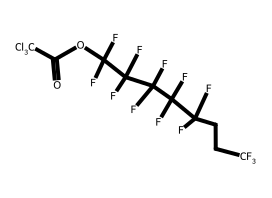 O=C(OC(F)(F)C(F)(F)C(F)(F)C(F)(F)C(F)(F)CCC(F)(F)F)C(Cl)(Cl)Cl